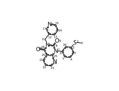 CSc1cccc(-n2c(=O)n(Cc3cccnc3)c(=O)c3cccnc32)c1